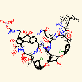 CN[C@H](CC(C)C)C(=O)N[C@H]1C(=O)N[C@@H](CC(N)=O)C(=O)N[C@H]2C(=O)N[C@H]3C(=O)N[C@H](C(=O)N[C@H](C(=O)O)c4cc(O)c(CNCOP(O)O)c5c4-c4cc3ccc4C5(O)O)[C@H](O)c3ccc(c(Cl)c3)Oc3cc2cc(c3O)Oc2ccc(cc2Cl)[C@H]1O